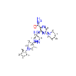 NC(=O)c1ncc(N2CCCCC2)nc1Nc1cnn(C2CCN(C3CCCC3)CC2)c1